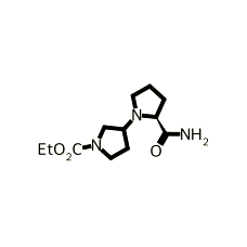 CCOC(=O)N1CCC(N2CCC[C@H]2C(N)=O)C1